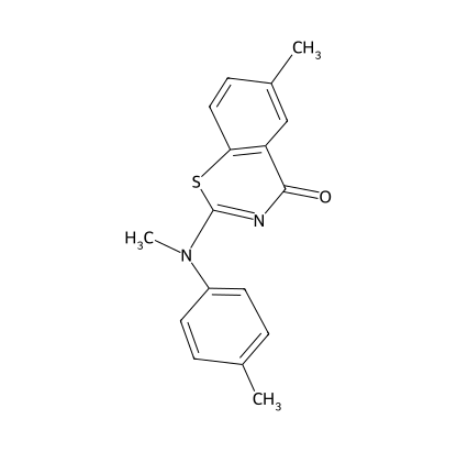 Cc1ccc(N(C)c2nc(=O)c3cc(C)ccc3s2)cc1